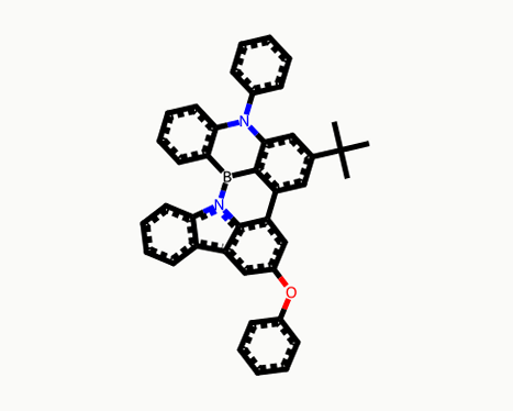 CC(C)(C)c1cc2c3c(c1)N(c1ccccc1)c1ccccc1B3n1c3ccccc3c3cc(Oc4ccccc4)cc-2c31